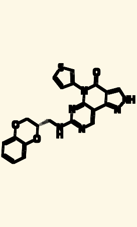 O=c1c2c[nH]nc2c2cnc(NC[C@H]3COc4ccccc4O3)nc2n1-c1ccsc1